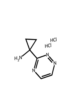 Cl.Cl.NC1(c2nccnn2)CC1